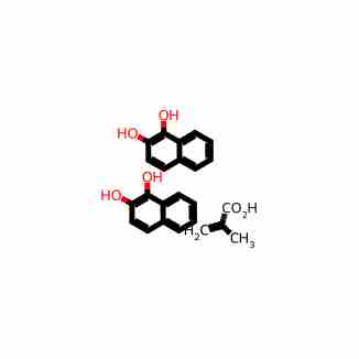 C=C(C)C(=O)O.Oc1ccc2ccccc2c1O.Oc1ccc2ccccc2c1O